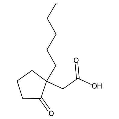 CCCCCC1(CC(=O)O)CCCC1=O